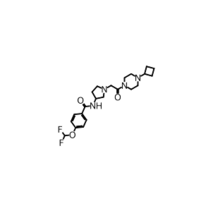 O=C(NC1CCN(CC(=O)N2CCN(C3CCC3)CC2)C1)c1ccc(OC(F)F)cc1